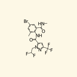 CNC(=O)c1cc(Br)cc(C)c1NC(=O)c1cc(C(F)(F)F)nn1CC(F)F